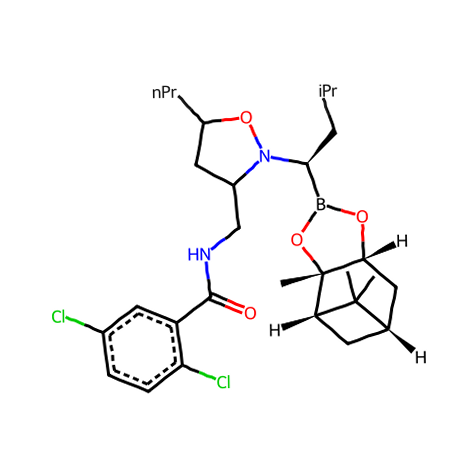 CCCC1CC(CNC(=O)c2cc(Cl)ccc2Cl)N([C@@H](CC(C)C)B2O[C@@H]3C[C@@H]4C[C@@H](C4(C)C)[C@]3(C)O2)O1